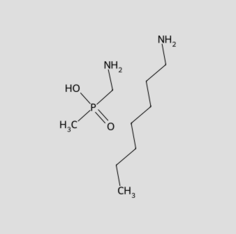 CCCCCCCN.CP(=O)(O)CN